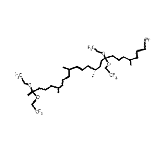 CC(C)CCCC(C)CCCC(CC[C@H](C)CCCC(C)CCCC(C)CCCC(C)(OCC(F)(F)F)OCC(F)(F)F)(OCC(F)(F)F)OCC(F)(F)F